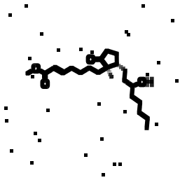 CCCCCC(O)CC[C@H]1CCC(=O)[C@]1(C)CCCCC=CC(=O)OC